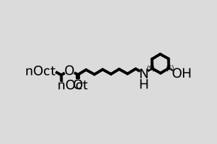 CCCCCCCCC(CCCCCCCC)OC(=O)CCCCCCCN[C@H]1CCC[C@H](O)C1